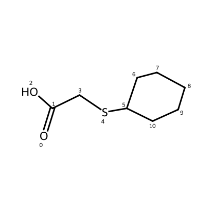 O=C(O)CSC1CCCCC1